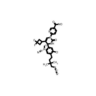 CC(C)(CCc1ccc([C@]2(CN=[N+]=[N-])NC(=O)N(c3ccc(C(=O)N=O)cn3)C=C2C2CC(F)(F)C2)cc1Cl)CN=[N+]=[N-]